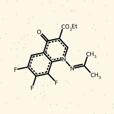 CCOC(=O)c1cn(N=C(C)C)c2c(F)c(F)c(F)cc2c1=O